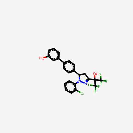 Oc1cccc(-c2ccc(C3CC(C(O)(C(F)(F)F)C(F)(F)F)=NN3c3ccccc3Cl)cc2)c1